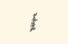 COc1c(COC(=O)Nc2ccc(Oc3ccc(F)cc3C)cc2C)ccc2c1C(=O)N(C1CCC(=O)NC1=O)C2